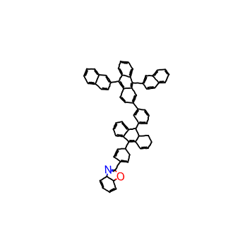 C1=CC2N=C(C3=CCC(C4=C5C=CCCC5C(c5cccc(-c6ccc7c(-c8ccc9ccccc9c8)c8ccccc8c(-c8ccc9ccccc9c8)c7c6)c5)c5ccccc54)C=C3)OC2C=C1